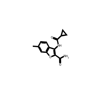 Cc1ccc2c(NC(=O)C3CC3)c(C(N)=O)oc2c1